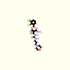 NC(=O)c1c(OCc2cccc(Cl)c2Cl)nsc1NC(=O)NCCCN1CCOCC1